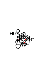 O=[N+]([O-])O.O=[N+]([O-])OC([N+](=O)[O-])([N+](=O)[O-])C(O[N+](=O)[O-])([N+](=O)[O-])C(Oc1ccccc1)(c1ccccc1)[N+](=O)[O-]